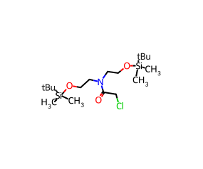 CC(C)(C)[Si](C)(C)OCCN(CCO[Si](C)(C)C(C)(C)C)C(=O)CCl